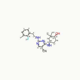 Cc1cccc(CCNc2ncc(C#N)c(N[C@@H]3CC[C@H](O)C(C)(C)C3)n2)c1F